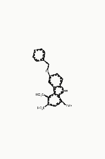 CSc1cc(C(=O)O)c(C(=O)O)c2c1[nH]c1ccc(OCc3ccccc3)cc12